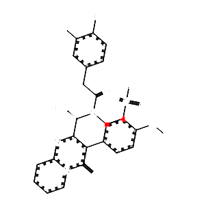 CCOc1ccc(-c2c([C@@H](C)N(CCS(=O)(=O)CC)C(=O)Cc3ccc(F)c(C(F)(F)F)c3)nc3ccccn3c2=O)cc1